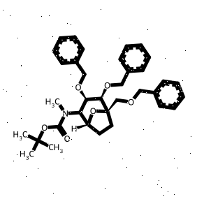 CN(C(=O)OC(C)(C)C)C1[C@@H](OCc2ccccc2)[C@@H](OCc2ccccc2)[C@]2(COCc3ccccc3)CC[C@H]1O2